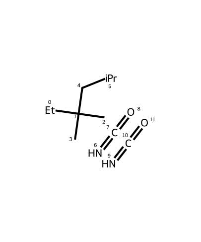 CCC(C)(C)CC(C)C.N=C=O.N=C=O